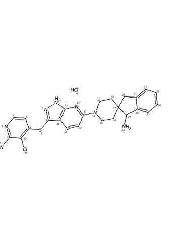 Cl.Nc1nccc(Sc2n[nH]c3nc(N4CCC5(CC4)Cc4ccccc4C5N)cnc23)c1Cl